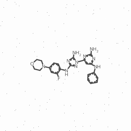 Nc1nc(Nc2ccccc2)cc(-n2nc(Nc3ccc(N4CCOCC4)cc3F)nc2N)n1